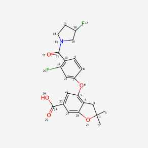 CC1(C)Cc2c(Oc3ccc(C(=O)N4CCC(F)C4)c(F)c3)cc(C(=O)O)cc2O1